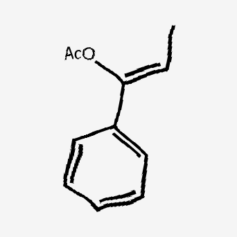 C/C=C(\OC(C)=O)c1ccccc1